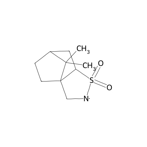 CC1(C)C2CCC13C[N]S(=O)(=O)C3C2